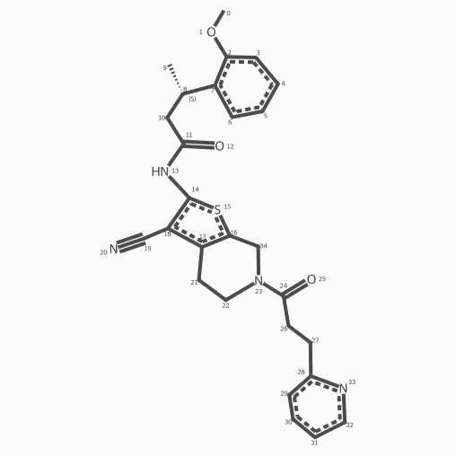 COc1ccccc1[C@@H](C)CC(=O)Nc1sc2c(c1C#N)CCN(C(=O)CCc1ccccn1)C2